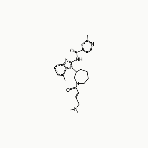 Cc1cc(C(=O)Nc2nc3cccc(C)c3n2C2CCCCN(C(=O)/C=C/CN(C)C)C2)ccn1